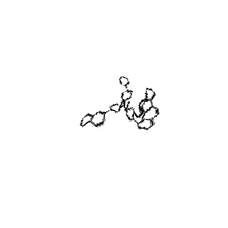 c1ccc(-c2ccc(N(c3ccc(-c4ccc5ccccc5c4)cc3)c3ccc(-c4cccc5ccc6c7ccccc7sc6c45)cc3)cc2)cc1